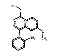 CCc1nnc(-c2ccccc2N)c2cc(OC)ccc12